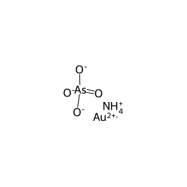 O=[As]([O-])([O-])[O-].[Au+2].[NH4+]